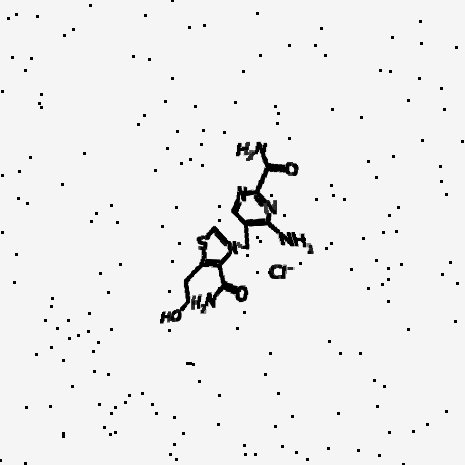 NC(=O)c1ncc(C[n+]2csc(CCO)c2C(N)=O)c(N)n1.[Cl-]